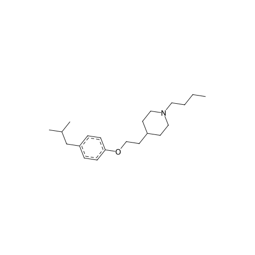 CCCCN1CCC(CCOc2ccc(CC(C)C)cc2)CC1